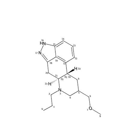 CCCN1CC(COC)C[C@H]2c3cccc4[nH]nc(c34)C[C@@H]21